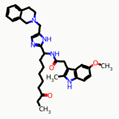 CCC(=O)CCCCCC(NC(=O)Cc1c(C)[nH]c2ccc(OC)cc12)c1ncc(CN2CCc3ccccc3C2)[nH]1